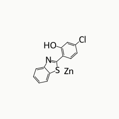 Oc1cc(Cl)ccc1-c1nc2ccccc2s1.[Zn]